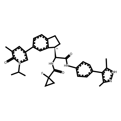 Cc1n[nH]c(C)c1-c1ccc(NC(=O)C(NC(=O)C2(F)CC2)[C@@H]2CCc3ccc(-c4cc(C)c(=O)n(C(C)C)c4)cc32)cc1